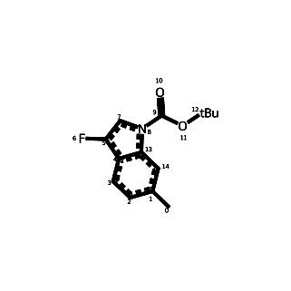 Cc1ccc2c(F)cn(C(=O)OC(C)(C)C)c2c1